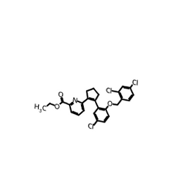 CCOC(=O)c1cccc(C2=C(c3cc(Cl)ccc3OCc3ccc(Cl)cc3Cl)CCC2)n1